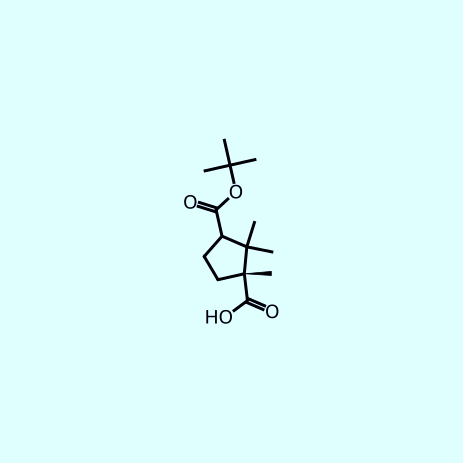 CC(C)(C)OC(=O)C1CC[C@@](C)(C(=O)O)C1(C)C